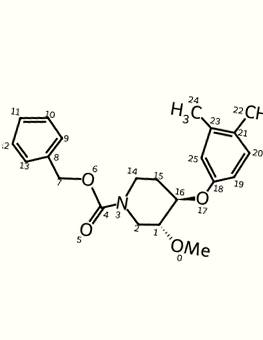 CO[C@@H]1CN(C(=O)OCc2ccccc2)CC[C@H]1Oc1ccc(C)c(C)c1